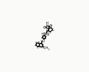 Cc1cc(COc2ccc(NC(=O)CC3CCCCC34NC(=O)NC4=O)cc2)c2ccccc2n1